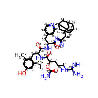 Cc1cc(O)cc(C)c1CC(NC(=O)C(CCCNC(=N)N)OC(N)=O)C(=O)NC(Cc1ccncc1)c1nc(CC23CC4CC(CC(C4)C2)C3)no1